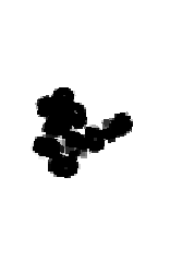 c1ccc(-c2ccccc2-c2nc(-c3ccc(-c4cc5ccccc5o4)cc3)cc(-c3cccc4c3-c3ccccc3C4(c3ccccc3)c3ccccc3)n2)cc1